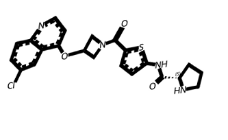 O=C(Nc1ccc(C(=O)N2CC(Oc3ccnc4ccc(Cl)cc34)C2)s1)[C@@H]1CCCN1